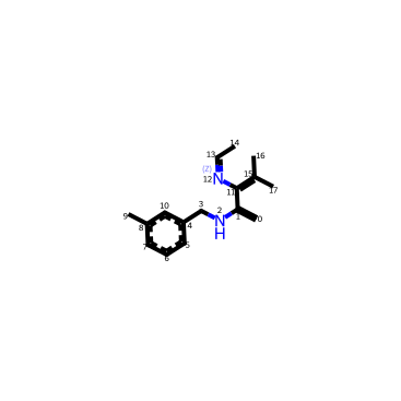 C=C(NCc1cccc(C)c1)C(/N=C\C)=C(C)C